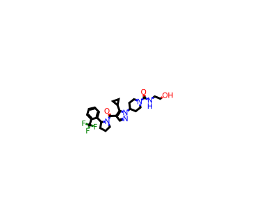 O=C(NCCO)N1CCC(n2ncc(C(=O)N3CCCC3c3ccccc3C(F)(F)F)c2C2CC2)CC1